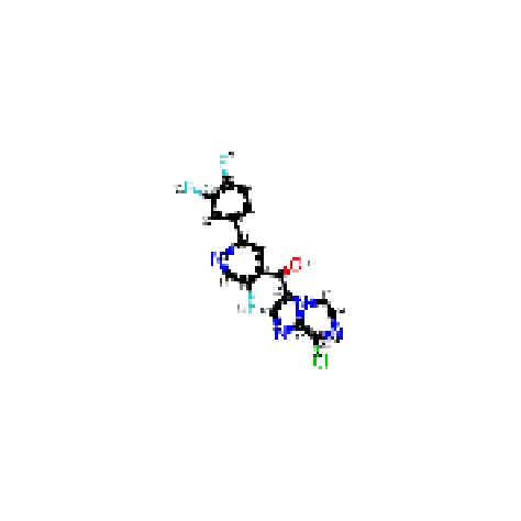 O=C(c1cc(-c2ccc(F)c(F)c2)ncc1F)c1cnc2c(Cl)nccn12